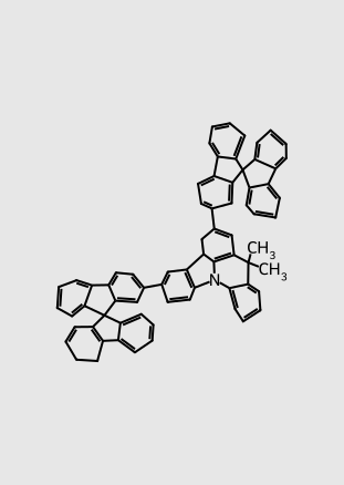 CC1(C)C2=C3C(CC(c4ccc5c(c4)C4(c6ccccc6-c6ccccc64)c4ccccc4-5)=C2)c2cc(-c4ccc5c(c4)C4(C6=C(CCC=C6)c6ccccc64)c4ccccc4-5)ccc2N3c2ccccc21